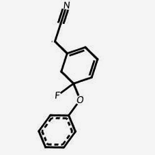 N#C[CH]C1=CC=CC(F)(Oc2ccccc2)C1